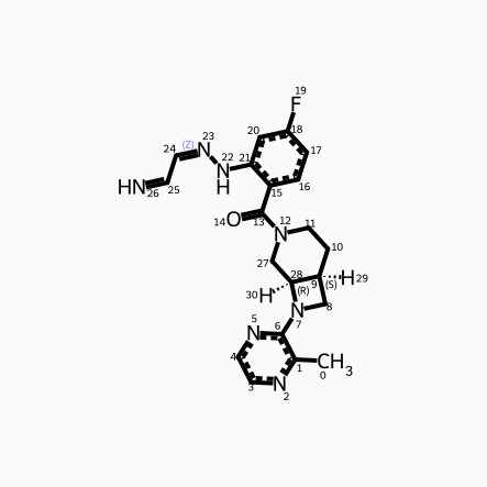 Cc1nccnc1N1C[C@@H]2CCN(C(=O)c3ccc(F)cc3N/N=C\C=N)C[C@@H]21